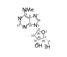 [3H]C[C@H]1O[C@@H](n2cnc3c(NC)ncnc32)C[C@H]1O